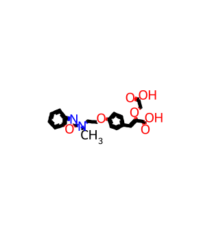 CN(CCOc1ccc(/C=C(\OCC(=O)O)C(=O)O)cc1)c1nc2ccccc2o1